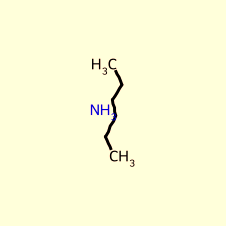 CCCCCC.N